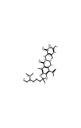 C=C(C)c1c2c(c(C)c3c1OC(C)(CCCC(CC)N(C)C)O3)C(=O)N(Cc1c(C)cc(C)[nH]c1=O)CC2